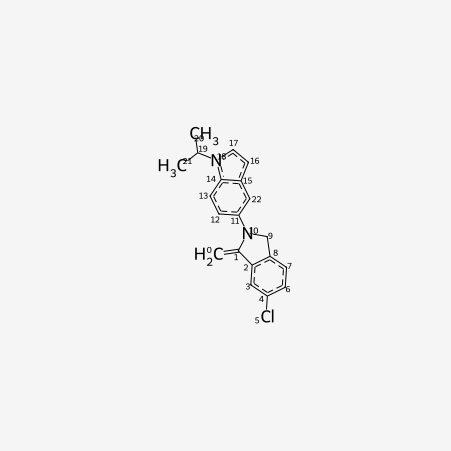 C=C1c2cc(Cl)ccc2CN1c1ccc2c(ccn2C(C)C)c1